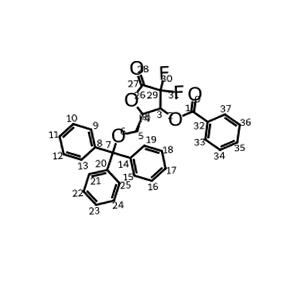 O=C(OC1[C@@H](COC(c2ccccc2)(c2ccccc2)c2ccccc2)OC(=O)C1(F)F)c1ccccc1